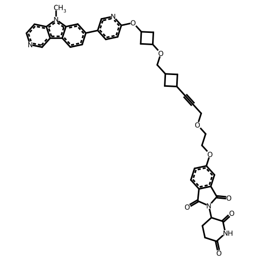 Cn1c2ccncc2c2ccc(-c3ccc(OC4CC(OCC5CC(C#CCOCCOc6ccc7c(c6)C(=O)N(C6CCC(=O)NC6=O)C7=O)C5)C4)nc3)cc21